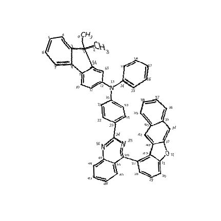 CC1(C)c2ccccc2-c2ccc(N(c3ccccc3)c3ccc(-c4nc(-c5cccc6oc7cc8ccccc8cc7c56)c5ccccc5n4)cc3)cc21